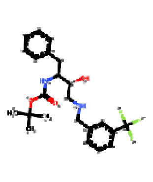 CC(C)(C)OC(=O)N[C@@H](Cc1ccccc1)[C@H](O)CNCc1cccc(C(F)(F)F)c1